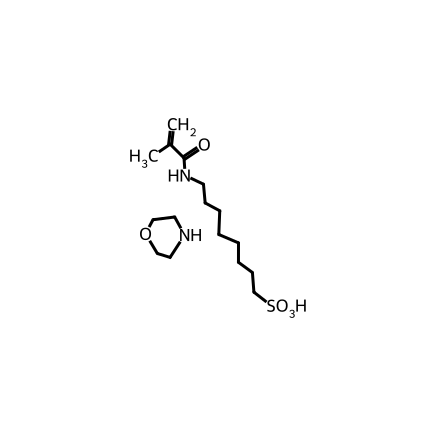 C1COCCN1.C=C(C)C(=O)NCCCCCCCCS(=O)(=O)O